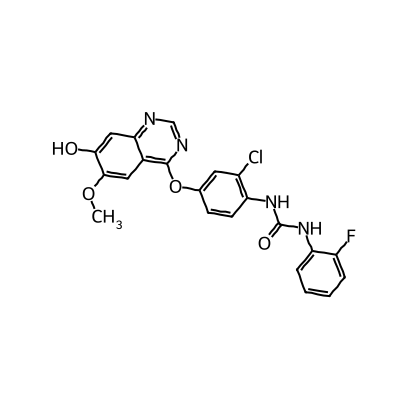 COc1cc2c(Oc3ccc(NC(=O)Nc4ccccc4F)c(Cl)c3)ncnc2cc1O